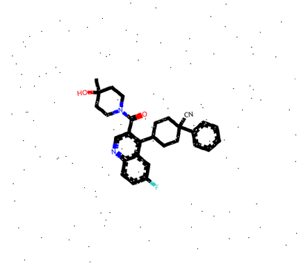 CC1(O)CCN(C(=O)c2cnc3ccc(F)cc3c2C2CCC(C#N)(c3ccccc3)CC2)CC1